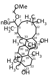 CCCCC(OCOC)[C@@]1(C)CCC(C)(C)CCC2[C@H](O)C=C3[C@@]4(C)CC[C@H](O)C(C)(C)[C@@H]4CC[C@@]3(C)[C@]2(C)CC1